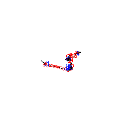 CCCCCC(C)C1CC(=O)N(CCC(=O)NCCOCCOCCOCCOCCOCCOCCOCCOCCC(=O)N[C@H](C(=O)N[C@@H](C)C(=O)Nc2ccc(COC(=O)N3c4cc(OCCCCCOc5cc6c(cc5OC)C(=O)N5C=C(C)C[C@H]5C=N6)c(OC)cc4C(=O)N4C=C(C)C[C@H]4[C@@H]3O)cc2)C(C)C)C1=O